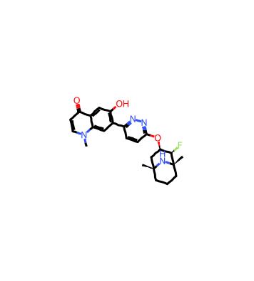 Cn1ccc(=O)c2cc(O)c(-c3ccc(O[C@@H]4C[C@@]5(C)CCC[C@](C)(N5)[C@@H]4F)nn3)cc21